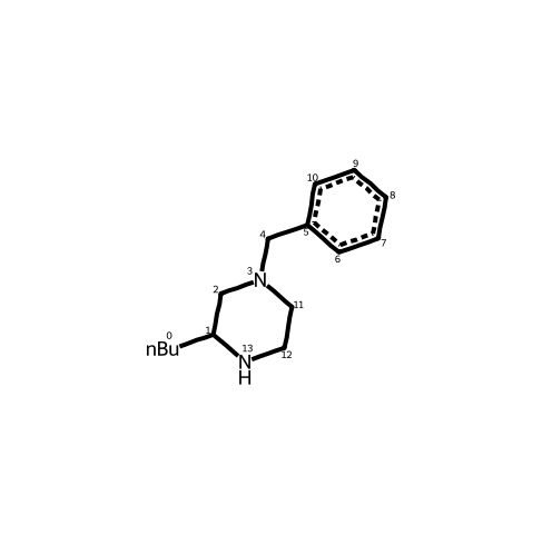 CCCCC1CN(Cc2ccccc2)CCN1